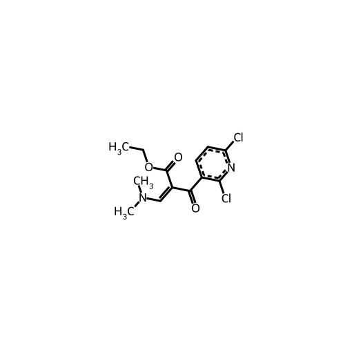 CCOC(=O)C(=CN(C)C)C(=O)c1ccc(Cl)nc1Cl